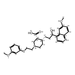 COc1cccc(SCCN2CC[C@@H](CCC(O)c3ccnc4ccc(OC)cc34)[C@@H](C(=O)O)C2)c1